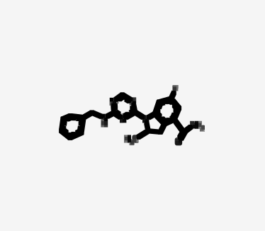 CC1Cc2c(C(N)=O)cc(F)cc2N1c1ncnc(NCc2ccccc2)n1